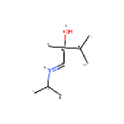 CC(C)N=CC(C)(O)C(C)C